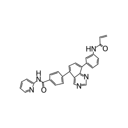 C=CC(=O)Nc1cccc(-c2ccc(-c3ccc(C(=O)Nc4ccccn4)cc3)c3cncnc23)c1